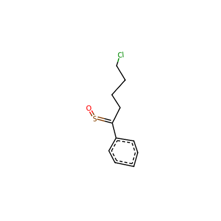 O=S=C(CCCCCl)c1ccccc1